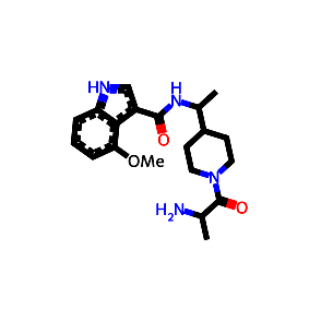 COc1cccc2[nH]cc(C(=O)NC(C)C3CCN(C(=O)C(C)N)CC3)c12